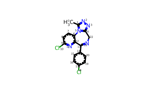 Cc1nnc2n1-c1ccc(Cl)nc1C(c1ccc(Cl)cc1)=NC2